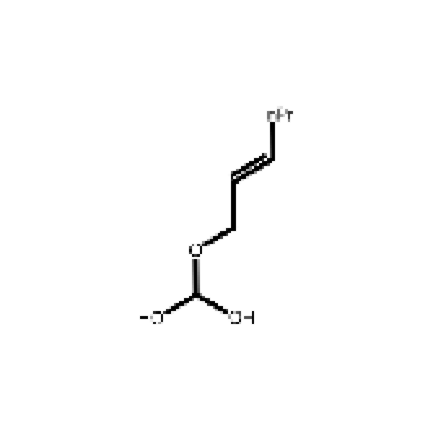 CCC/C=C/COC(O)O